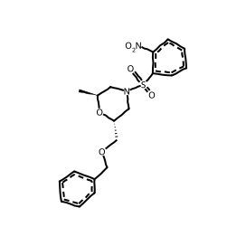 C[C@H]1CN(S(=O)(=O)c2ccccc2[N+](=O)[O-])C[C@H](COCc2ccccc2)O1